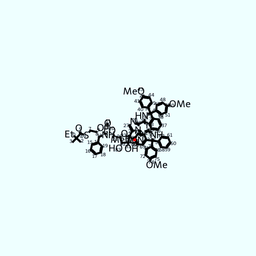 CCC(C)(C)C(=O)SCCOP(=O)(NCc1ccccc1)OC[C@H]1O[C@@](C#N)(c2cnc3c(NC(c4ccccc4)(c4ccc(OC)cc4)c4ccc(OC)cc4)nc(NC(c4ccccc4)(c4ccc(OC)cc4)c4ccc(OC)cc4)nn23)[C@](C)(O)[C@@H]1O